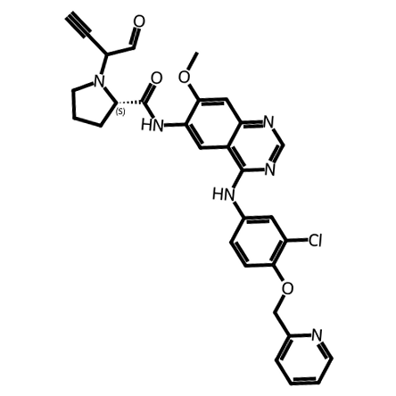 C#CC(C=O)N1CCC[C@H]1C(=O)Nc1cc2c(Nc3ccc(OCc4ccccn4)c(Cl)c3)ncnc2cc1OC